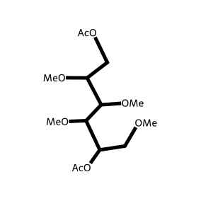 COCC(OC(C)=O)C(OC)C(OC)C(COC(C)=O)OC